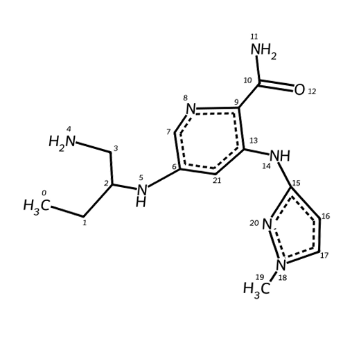 CCC(CN)Nc1cnc(C(N)=O)c(Nc2ccn(C)n2)c1